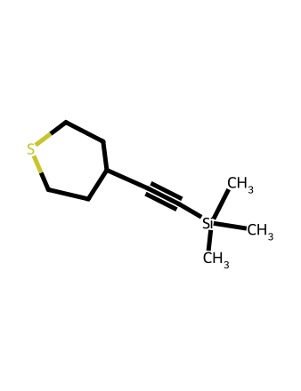 C[Si](C)(C)C#CC1CCSCC1